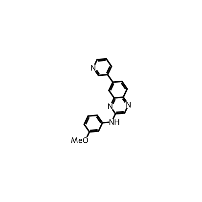 COc1cccc(Nc2cnc3ccc(-c4cccnc4)cc3n2)c1